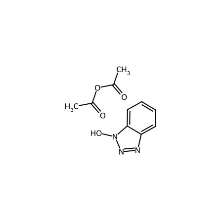 CC(=O)OC(C)=O.On1nnc2ccccc21